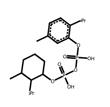 Cc1ccc(C(C)C)c(OP(=O)(O)OP(=O)(O)OC2CCCC(C)C2C(C)C)c1